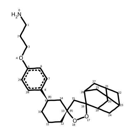 NCCCOc1ccc([C@@H]2CCC[C@@]3(C2)CC2(OO3)C3CC4CC(C3)CC2C4)cc1